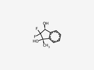 C[C@]1(O)c2ccccc2[C@H](O)C1(F)F